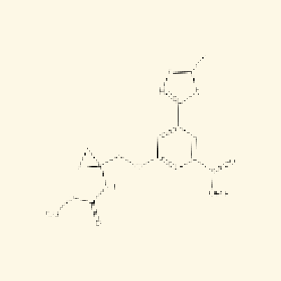 COC(=O)c1cc(OCC2(NC(=O)OC(C)(C)C)CC2)cc(-c2ncc(C)s2)c1